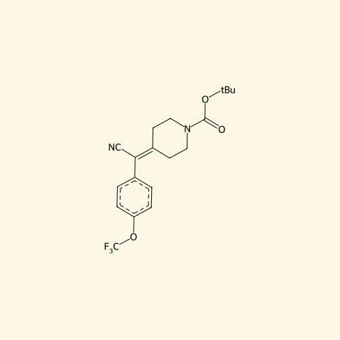 CC(C)(C)OC(=O)N1CCC(=C(C#N)c2ccc(OC(F)(F)F)cc2)CC1